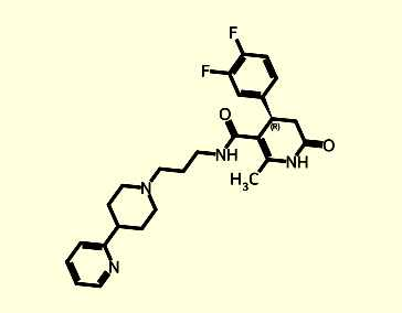 CC1=C(C(=O)NCCCN2CCC(c3ccccn3)CC2)[C@@H](c2ccc(F)c(F)c2)CC(=O)N1